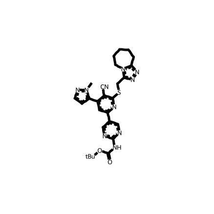 Cn1nccc1-c1cc(-c2cnc(NC(=O)OC(C)(C)C)nc2)nc(SCc2nnc3n2CCCCC3)c1C#N